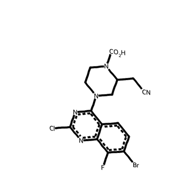 N#CCC1CN(c2nc(Cl)nc3c(F)c(Br)ccc23)CCN1C(=O)O